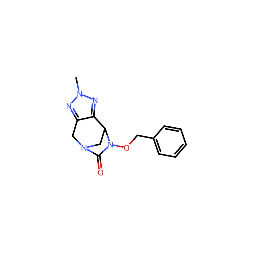 Cn1nc2c(n1)C1CN(C2)C(=O)N1OCc1ccccc1